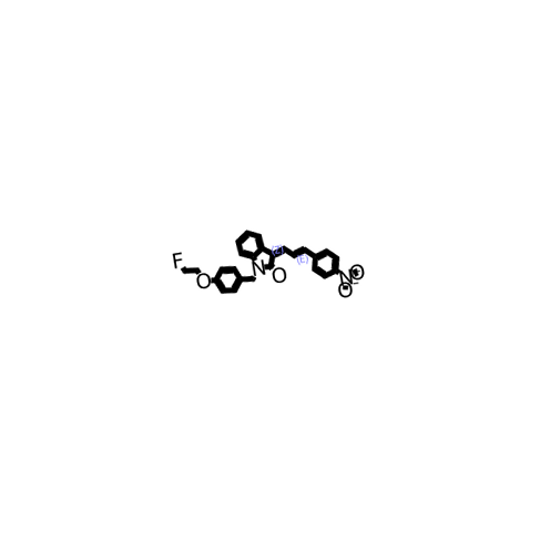 O=C1/C(=C\C=C\c2ccc([N+](=O)[O-])cc2)c2ccccc2N1Cc1ccc(OCCF)cc1